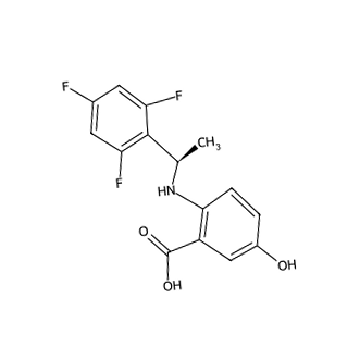 C[C@@H](Nc1ccc(O)cc1C(=O)O)c1c(F)cc(F)cc1F